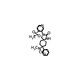 CN(C)[C@]1(c2ccccc2)CC[C@@]2(CC1)CN(c1cnccc1S(C)(=O)=O)C(=O)N2